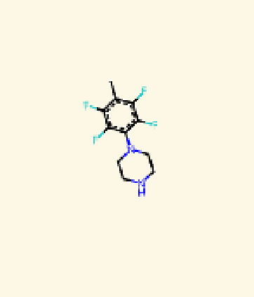 Cc1c(F)c(F)c(N2CCNCC2)c(F)c1F